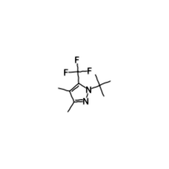 Cc1nn(C(C)(C)C)c(C(F)(F)F)c1C